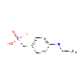 CCNc1ccc(CP(=O)(O)O)cc1